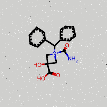 NC(=O)[N+]1(C(c2ccccc2)c2ccccc2)CC(O)(C(=O)O)C1